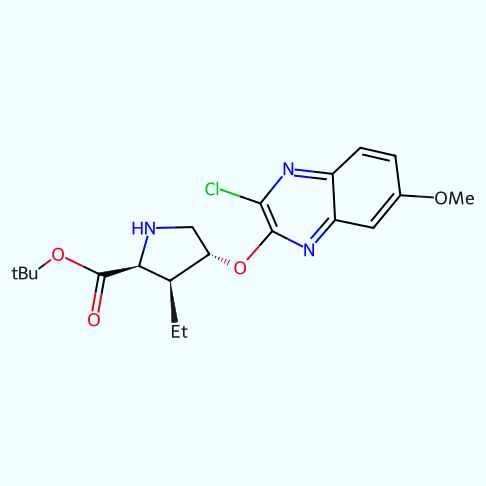 CC[C@@H]1[C@@H](Oc2nc3cc(OC)ccc3nc2Cl)CN[C@@H]1C(=O)OC(C)(C)C